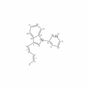 C/C=C\C=C/c1cn(-c2cccnc2)c2ccccc12